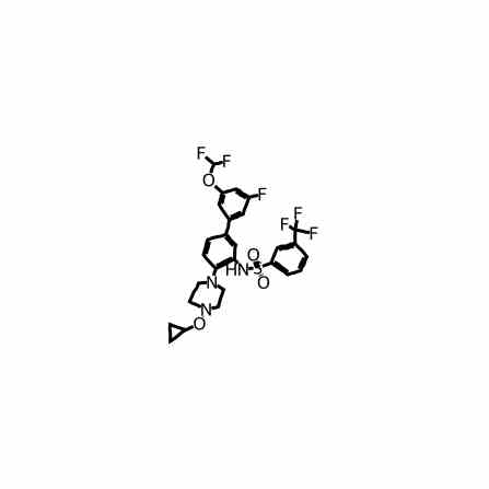 O=S(=O)(Nc1cc(-c2cc(F)cc(OC(F)F)c2)ccc1N1CCN(OC2CC2)CC1)c1cccc(C(F)(F)F)c1